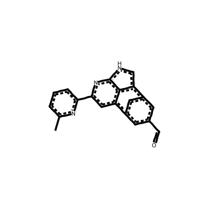 Cc1cccc(-c2cc3c4cc(C=O)cc(c4)c4c[nH]c(n2)c43)n1